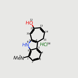 CNc1cccc2c3c([nH]c12)C=C(O)C=CC3.Cl